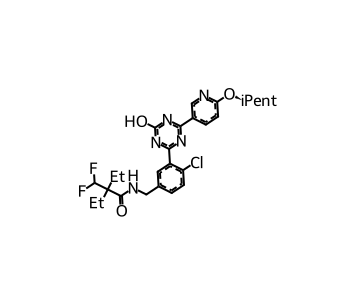 CCC[C@H](C)Oc1ccc(-c2nc(O)nc(-c3cc(CNC(=O)C(CC)(CC)C(F)F)ccc3Cl)n2)cn1